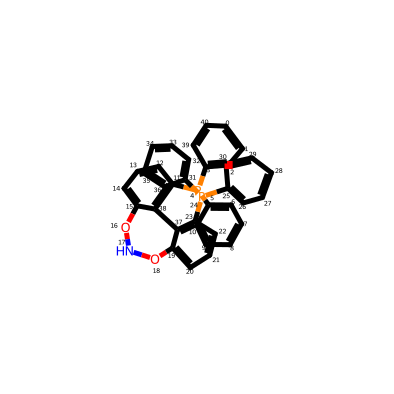 c1ccc(P(c2ccccc2)c2cccc3o[nH]oc4cccc(P(c5ccccc5)c5ccccc5)c4c23)cc1